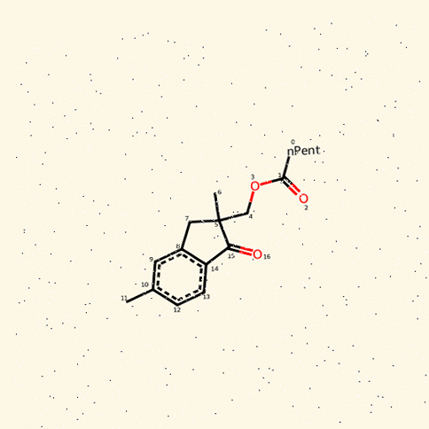 CCCCCC(=O)OCC1(C)Cc2cc(C)ccc2C1=O